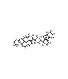 c1ccc(-c2ccc3ccc4c(-c5ccc(-c6cccc7c6oc6ccccc67)cc5)ccc5ccc2c3c54)cc1